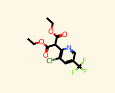 CCOC(=O)C(C(=O)OCC)c1ncc(C(F)(F)F)cc1Cl